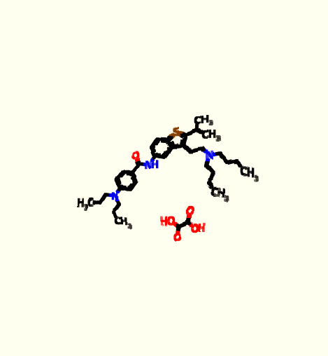 CCCCN(CCCC)CCc1c(C(C)C)sc2ccc(NC(=O)c3ccc(N(CCC)CCC)cc3)cc12.O=C(O)C(=O)O